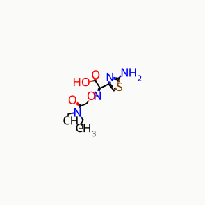 CCN(CC)C(=O)CON=C(C(=O)O)c1csc(N)n1